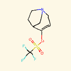 O=S(=O)(OC1=CCN2CCC1CC2)C(F)(F)F